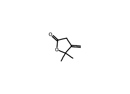 C=C1CC(=O)OC1(C)C